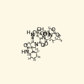 CN(C(=O)[C@H](CC1CC1)N1CCOC1=O)[C@@H](CC(C)(C)C)C(=O)N1C[C@]2(C[C@H]1C#N)C(=O)Nc1ccccc12